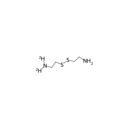 [2H]N([2H])CCSSCCN